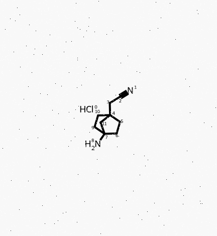 Cl.N#CCC12CCC(N)(CC1)C2